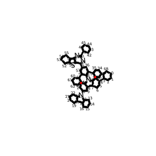 c1ccc(-c2ccc3c4cc(-n5c6ccccc6c6ccccc65)ccc4n(-c4c(-c5ccccc5)cc(-c5nc(-c6ccccc6)nc6c5sc5ccccc56)cc4-c4ccccc4)c3c2)cc1